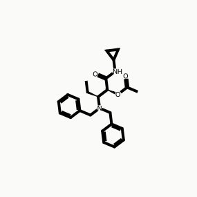 CC[C@@H]([C@H](OC(C)=O)C(=O)NC1CC1)N(Cc1ccccc1)Cc1ccccc1